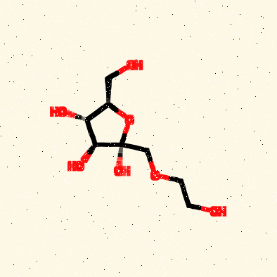 OCCOC[C@]1(O)O[C@H](CO)[C@@H](O)[C@@H]1O